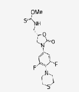 COC(=S)NC[C@H]1CN(c2cc(F)c(N3CCSCC3)c(F)c2)C(=O)O1